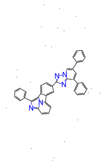 c1ccc(-c2cc(-c3ccccc3)c3nc(-c4ccc5c(c4)c4cccc6nc(-c7ccccc7)c5n64)nn3c2)cc1